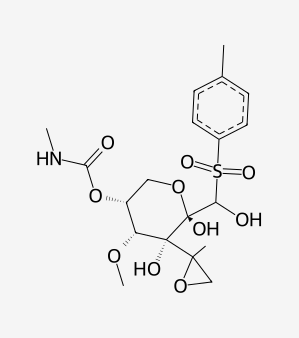 CNC(=O)O[C@@H]1CO[C@](O)(C(O)S(=O)(=O)c2ccc(C)cc2)[C@@](O)(C2(C)CO2)[C@@H]1OC